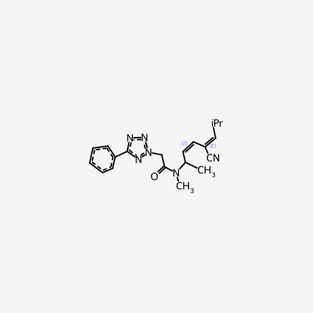 CC(C)/C=C(C#N)\C=C/C(C)N(C)C(=O)Cn1nnc(-c2ccccc2)n1